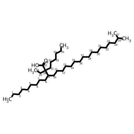 CCCCCCCCCC(CCCCCCCCCCCCCCCC(C)C)C(CC)(CCCCCC)C(=O)O